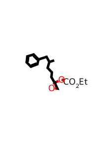 CCOC(=O)OC1(CCCC(C)Cc2ccccc2)CO1